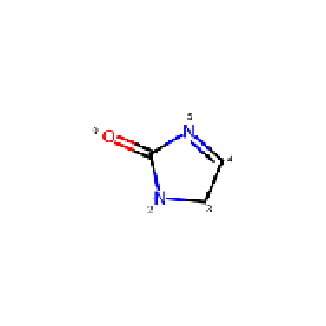 O=C1[N]CC=N1